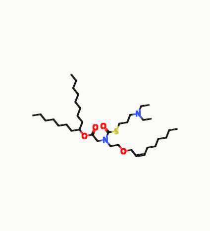 CCCCCC/C=C\COCCN(CC(=O)OC(CCCCCCC)CCCCCCCC)C(=O)SCCCN(CC)CC